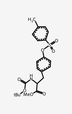 COC(=O)C(Cc1ccc(OS(=O)(=O)c2ccc(C)cc2)cc1)NC(=O)OC(C)(C)C